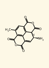 Cc1cc2c3c4c1C(=O)OC(=O)C4=C[C@H](N)[C@@H]3C(=O)OC2=O